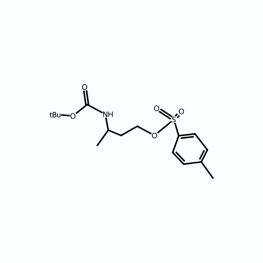 Cc1ccc(S(=O)(=O)OCCC(C)NC(=O)OC(C)(C)C)cc1